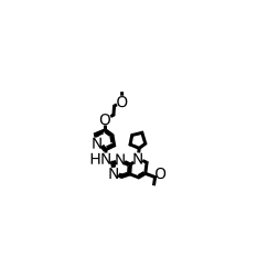 COCCOc1ccc(Nc2ncc3c(n2)N(C2CCCC2)CC(C(C)=O)=C3)nc1